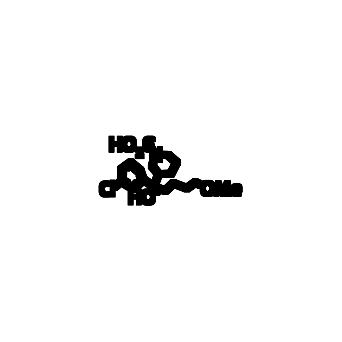 COCCCC[C@@](O)(c1cccc(Cl)c1)C1CCCN(C(=O)O)C1